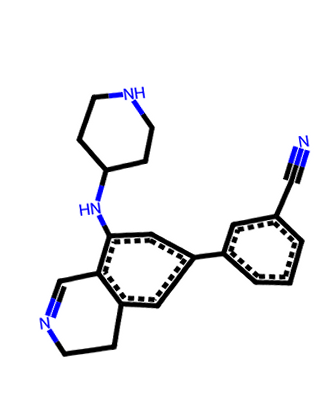 N#Cc1cccc(-c2cc3c(c(NC4CCNCC4)c2)C=NCC3)c1